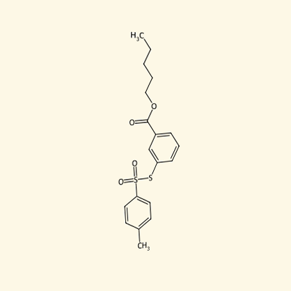 CCCCCOC(=O)c1cccc(SS(=O)(=O)c2ccc(C)cc2)c1